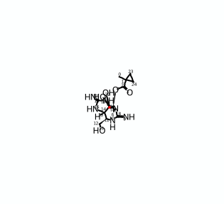 CC1(C(=O)O[C@H]2CN3C(=N)N[C@@H](CO)[C@@H]4NC(=N)N[C@@]43C2(O)O)CC1